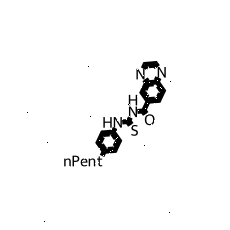 CCCCCc1ccc(NC(=S)NC(=O)c2ccc3nccnc3c2)cc1